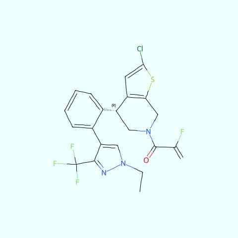 C=C(F)C(=O)N1Cc2sc(Cl)cc2[C@@H](c2ccccc2-c2cn(CC)nc2C(F)(F)F)C1